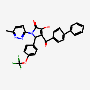 Cc1ccc(N2C(=O)C(O)=C(C(=O)c3ccc(-c4ccccc4)cc3)C2c2ccc(OC(F)(F)F)cc2)nn1